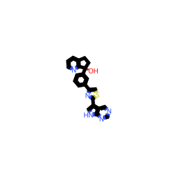 O[C@]1(c2cccc(-c3csc(-c4c[nH]c5ncncc45)n3)c2)CCc2cccnc21